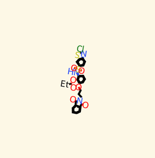 CCC(=O)Oc1c(NS(=O)(=O)c2ccc3nc(Cl)sc3c2)cccc1OCCCN1C(=O)c2ccccc2C1=O